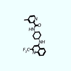 Cc1ccnc(C(=O)N[C@H]2CC[C@@H](Nc3cc(C(F)(F)F)nc4ccccc34)CC2)c1